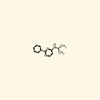 CC(C)Nc1ccnc(-c2ccccc2)n1